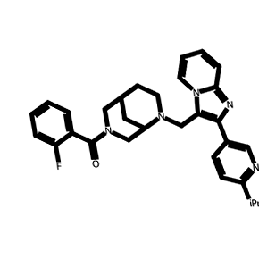 CC(C)c1ccc(-c2nc3ccccn3c2CN2CCC3CC2CN(C(=O)c2ccccc2F)C3)cn1